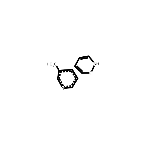 C1=CNOC=C1.O=C(O)c1cccnc1